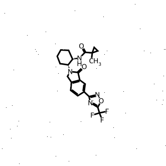 CC1(C(=O)N[C@@H]2CCCC[C@H]2N2Cc3ccc(-c4noc(C(F)(F)F)n4)cc3C2=O)CC1